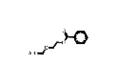 CC(=O)OCOCCOC(=O)c1ccccc1